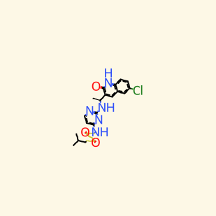 CC(C)CS(=O)(=O)Nc1ccnc(N[C@@H](C)c2cc3cc(Cl)ccc3[nH]c2=O)n1